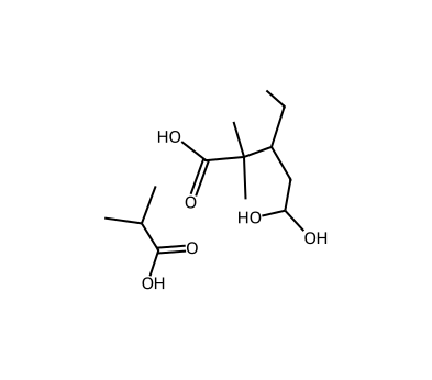 CC(C)C(=O)O.CCC(CC(O)O)C(C)(C)C(=O)O